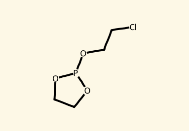 ClCCOP1OCCO1